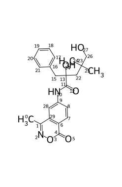 Cc1noc(=O)c2ccc(NC(=O)C(O)(Cc3ccccc3)CC(C)(C)CO)cc12